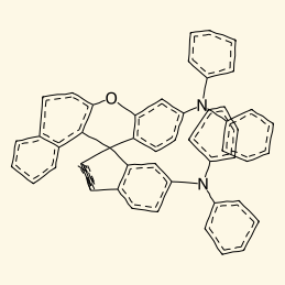 c1ccc(N(c2ccccc2)c2ccc3c(c2)Oc2ccc4ccccc4c2C32c3ccccc3-c3ccc(N(c4ccccc4)c4ccccc4)cc32)cc1